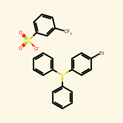 CCc1ccc([S+](c2ccccc2)c2ccccc2)cc1.O=S(=O)([O-])c1cccc(C(F)(F)F)c1